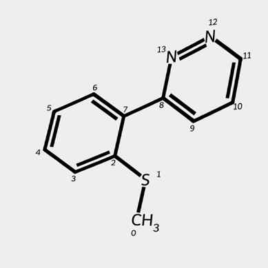 CSc1ccccc1-c1cccnn1